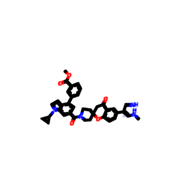 CN/C=C(\C=N)c1ccc2c(c1)C(=O)CC1(CCN(C(=O)c3cc(-c4cccc(C(=O)OC)c4)c4ccn(C5CC5)c4c3)CC1)O2